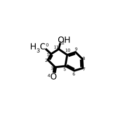 CC1=CC(=O)c2ccccc2C1O